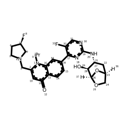 CC(C)n1c(CN2CC[C@@H](F)C2)cc(=O)c2ccc(-c3nc(N[C@@H]4C[C@H]5CO[C@H](O5)[C@H]4O)ncc3F)cc21